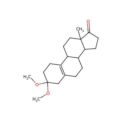 COC1(OC)CCC2=C(CCC3C2CCC2(C)C(=O)CCC32)C1